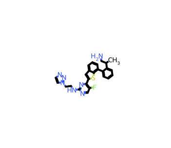 CC(CN)c1ccccc1-c1cccc2cc(-c3nc(NCCn4ccnn4)ncc3F)sc12